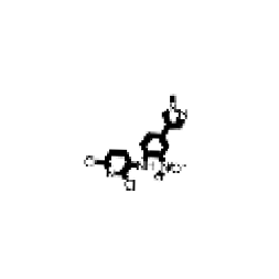 Cn1cc(-c2ccc(Nc3ccc(Cl)nc3Cl)c([N+](=O)[O-])c2)cn1